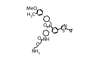 COc1ccc([C@H]2CC[C@H](CN(c3cccc(-c4cnc(C5CC5)s4)c3)C(=O)[C@H]3CC[C@H](NC(=O)COCCN)CC3)CC2)cc1C